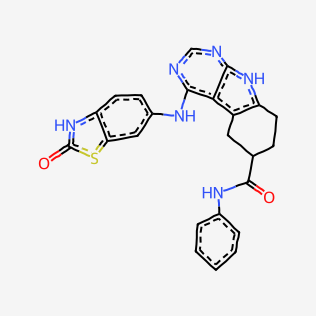 O=C(Nc1ccccc1)C1CCc2[nH]c3ncnc(Nc4ccc5[nH]c(=O)sc5c4)c3c2C1